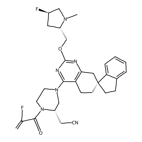 C=C(F)C(=O)N1CCN(c2nc(OC[C@@H]3C[C@@H](F)CN3C)nc3c2CC[C@]2(CCc4ccccc42)C3)C[C@@H]1CC#N